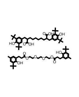 CC(C)(C)c1cc(CC(CCCCCCC(Cc2cc(C(C)(C)C)c(O)c(C(C)(C)C)c2)C(=O)O)C(=O)O)cc(C(C)(C)C)c1O.Cc1cc(CCC(=O)OCCOCCOCCOC(=O)CCc2cc(C)cc(C(C)(C)C)c2O)c(O)c(C(C)(C)C)c1